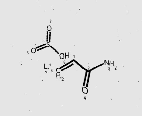 C=CC(N)=O.O=[S-](=O)O.[Li+]